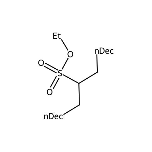 CCCCCCCCCCCC(CCCCCCCCCCC)S(=O)(=O)OCC